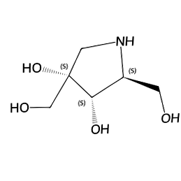 OC[C@@H]1NC[C@](O)(CO)[C@H]1O